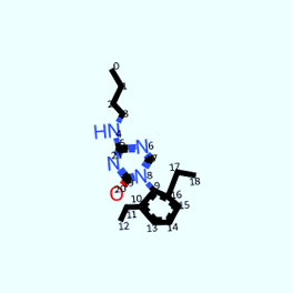 CCCCNc1ncn(-c2c(CC)cccc2CC)c(=O)n1